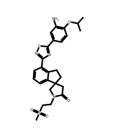 CC(C)Oc1ccc(-c2nc(-c3cccc4c3CCC43CC(=O)N(CCS(C)(=O)=O)C3)no2)cc1N